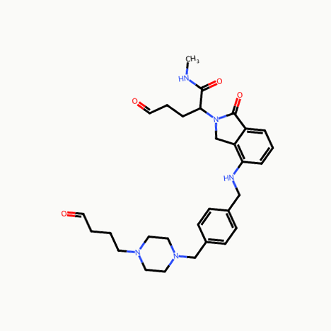 CNC(=O)C(CCC=O)N1Cc2c(NCc3ccc(CN4CCN(CCCC=O)CC4)cc3)cccc2C1=O